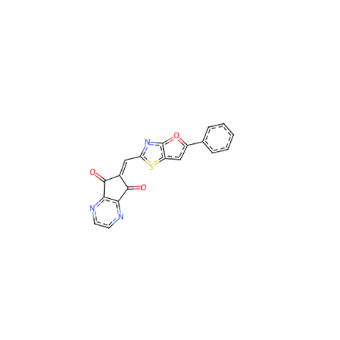 O=C1C(=Cc2nc3oc(-c4ccccc4)cc3s2)C(=O)c2nccnc21